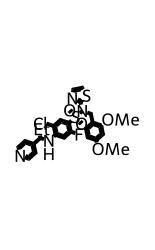 CCC(Nc1cc(F)c(S(=O)(=O)N(Cc2ccc(OC)cc2OC)c2nccs2)cc1Cl)c1ccncc1